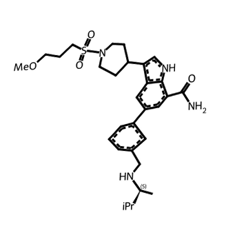 COCCCS(=O)(=O)N1CCC(c2c[nH]c3c(C(N)=O)cc(-c4cccc(CN[C@@H](C)C(C)C)c4)cc23)CC1